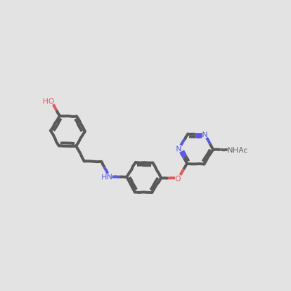 CC(=O)Nc1cc(Oc2ccc(NCCc3ccc(O)cc3)cc2)ncn1